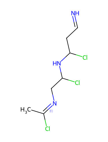 C/C(Cl)=N\CC(Cl)NC(Cl)CC=N